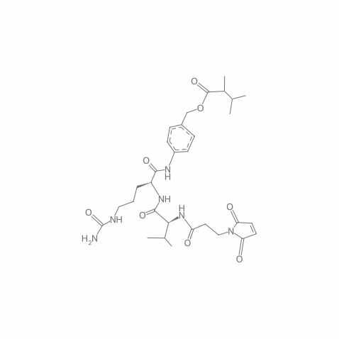 CC(C)C(C)C(=O)OCc1ccc(NC(=O)[C@H](CCCNC(N)=O)NC(=O)[C@@H](NC(=O)CCN2C(=O)C=CC2=O)C(C)C)cc1